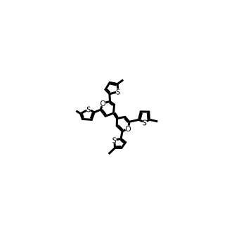 Cc1ccc(C2=CC(=C3C=C(c4ccc(C)s4)OC(c4ccc(C)s4)=C3)C=C(c3ccc(C)s3)O2)s1